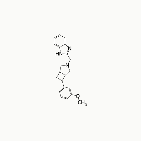 COc1cccc(C2CC3CN(Cc4nc5ccccc5[nH]4)CC32)c1